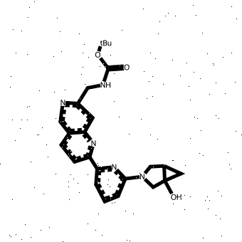 CC(C)(C)OC(=O)NCc1cc2nc(-c3cccc(N4CC5CC5(O)C4)n3)ccc2cn1